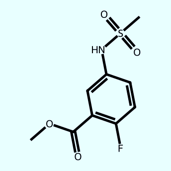 COC(=O)c1cc(NS(C)(=O)=O)ccc1F